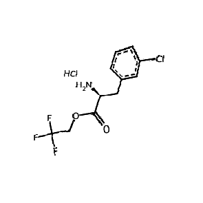 Cl.N[C@@H](Cc1cccc(Cl)c1)C(=O)OCC(F)(F)F